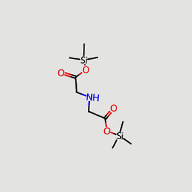 C[Si](C)(C)OC(=O)CNCC(=O)O[Si](C)(C)C